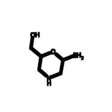 BC1CNCC(CO)O1